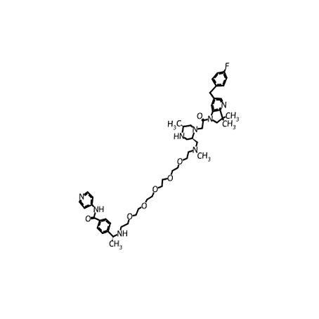 C[C@@H]1CN(CC(=O)N2CC(C)(C)c3ncc(Cc4ccc(F)cc4)cc32)[C@@H](CN(C)CCOCCOCCOCCOCCOCCN[C@H](C)c2ccc(C(=O)Nc3ccncc3)cc2)CN1